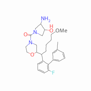 COCCCCC(c1cccc(F)c1-c1cccc(C)c1)C1CN(C(=O)N2CC(N)C(O)C2)CCO1